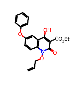 C=CCOn1c(=O)c(C(=O)OCC)c(O)c2cc(Oc3ccccc3)ccc21